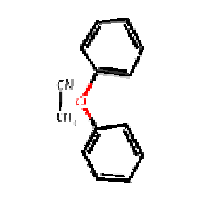 CC#N.c1ccc(Oc2ccccc2)cc1